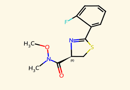 CON(C)C(=O)[C@@H]1CSC(c2ccccc2F)=N1